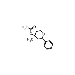 CC(=O)O[C@@]1(C)CCO[C@@H](c2ccccc2)C1